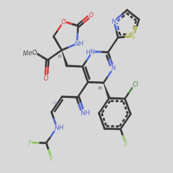 COC(=O)[C@]1(CC2=C(C(=N)/C=C\NC(F)F)[C@H](c3ccc(F)cc3Cl)N=C(c3nccs3)N2)COC(=O)N1